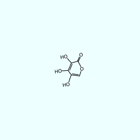 O=c1occ(O)c(O)c1O